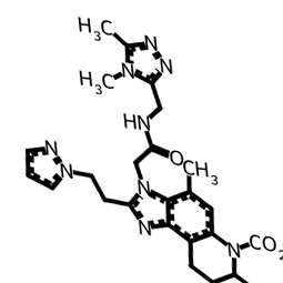 Cc1cc2c(c3nc(CCn4cccn4)n(CC(=O)NCc4nnc(C)n4C)c13)CCC(C)N2C(=O)O